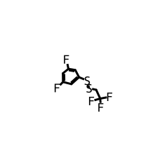 Fc1cc(F)cc(SSCC(F)(F)F)c1